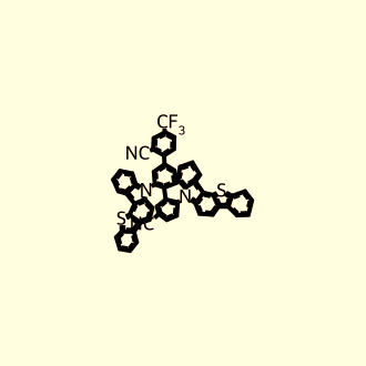 N#Cc1ccc(-n2c3ccccc3c3c4sc5ccccc5c4ccc32)c(-c2ccc(-c3ccc(C(F)(F)F)cc3C#N)cc2-n2c3ccccc3c3c4sc5ccccc5c4ccc32)c1